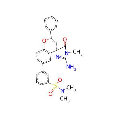 CN1C(=O)C2(CC(c3ccccc3)Oc3ccc(-c4cccc(S(=O)(=O)N(C)C)c4)cc32)N=C1N